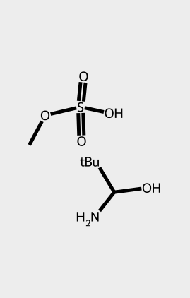 CC(C)(C)C(N)O.COS(=O)(=O)O